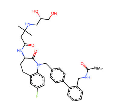 CNC(=O)NCc1ccccc1-c1ccc(CN2C(=O)[C@H](NC(=O)CC(C)(C)NC[C@H](O)CO)CCc3cc(F)ccc32)cc1